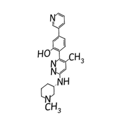 Cc1cc(N[C@H]2CCCN(C)C2)nnc1-c1ccc(-c2cccnc2)cc1O